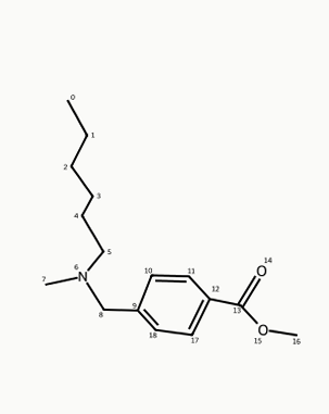 CCCCCCN(C)Cc1ccc(C(=O)OC)cc1